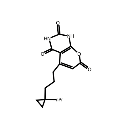 CCCC1(CCCc2cc(=O)oc3[nH]c(=O)[nH]c(=O)c23)CC1